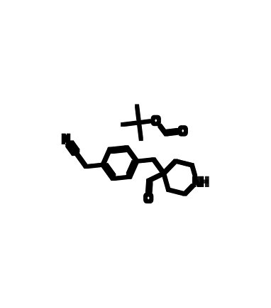 CC(C)(C)OC=O.N#CCc1ccc(CC2(C=O)CCNCC2)cc1